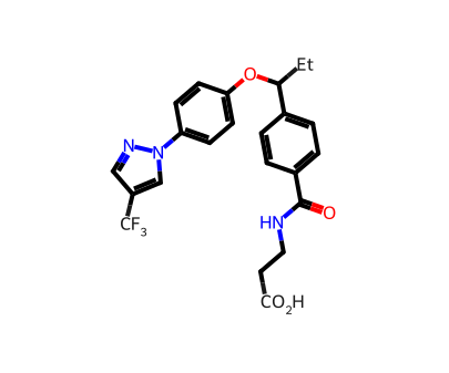 CCC(Oc1ccc(-n2cc(C(F)(F)F)cn2)cc1)c1ccc(C(=O)NCCC(=O)O)cc1